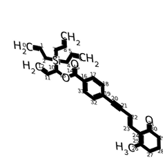 C=CC[Si](CC=C)(CC=C)C(C=C)OC(=O)c1ccc(C#C/C=C/C2=C(C)CCCC2=O)cc1